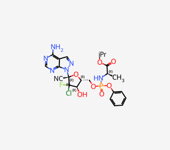 CC(C)OC(=O)[C@@H](C)NP(=O)(OC[C@H]1O[C@@](C#N)(n2ncc3c(N)ncnc32)[C@@](F)(Cl)[C@@H]1O)Oc1ccccc1